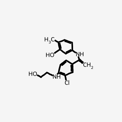 C=C(Nc1ccc(C)c(O)c1)c1ccc(NCCO)c(Cl)c1